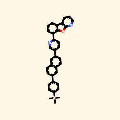 C[Si](C)(C)c1ccc(-c2ccc3cc(-c4ccc(-c5cccc6c5oc5ncccc56)nc4)ccc3c2)cc1